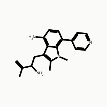 C=C(C)C(N)Cc1c(C)n(C)c2c(-c3ccncc3)ccc(N)c12